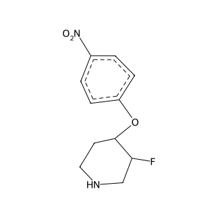 O=[N+]([O-])c1ccc(OC2CCNCC2F)cc1